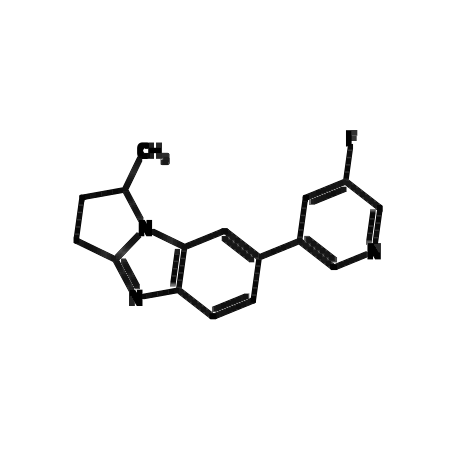 CC1CCc2nc3ccc(-c4cncc(F)c4)cc3n21